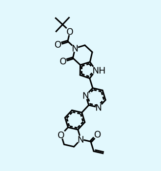 C=CC(=O)N1CCOc2ccc(-c3nccc(-c4cc5c([nH]4)CCN(C(=O)OC(C)(C)C)C5=O)n3)cc21